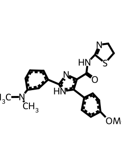 COc1ccc(-c2[nH]c(-c3cccc(N(C)C)c3)nc2C(=O)NC2=NCCS2)cc1